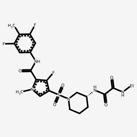 CCNC(=O)C(=O)N[C@@H]1CCCN(S(=O)(=O)c2cn(C)c(C(=O)Nc3cc(F)c(C)c(F)c3)c2F)C1